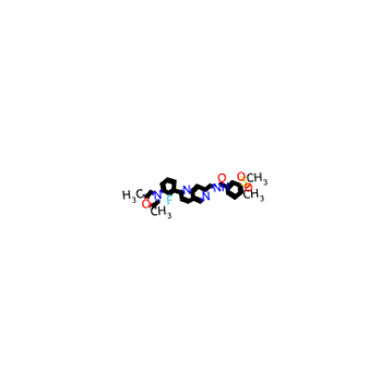 Cc1ccc(C(=O)NCc2cc3nc(-c4cccc(N5C[C@@H](C)O[C@@H](C)C5)c4F)ccc3cn2)cc1S(C)(=O)=O